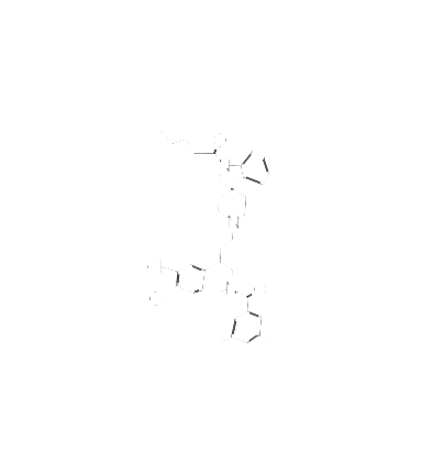 CCCCC(=O)N1CC2(CCN(CCC(CN(C)C(=O)c3cc(C)cc(C)c3)c3ccc(Cl)c(Cl)c3)CC2)c2ccccc21